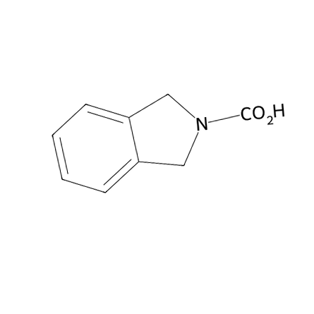 O=C(O)N1Cc2ccccc2C1